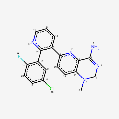 CN1CN=C(N)c2nc(-c3cccnc3-c3cc(Cl)ccc3F)ccc21